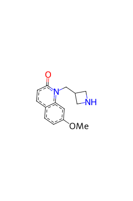 COc1ccc2ccc(=O)n(CC3CNC3)c2c1